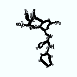 O=C(NCc1cc([N+](=O)[O-])cc2c1NC(C(=O)O)C(=O)N2)Nc1ccccc1